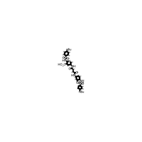 CCCCc1ccc(S(=O)(=O)Nc2ccc(NC(=O)CCC(=O)Nc3cnc(NS(=O)(=O)c4ccc(CCCC)cc4)c(C(=O)O)c3)cc2C(=O)O)cc1